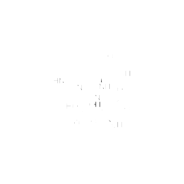 C[C@@H](OP(=O)(O)O)[C@H](N)C(=O)O.N[C@@H](Cc1c[nH]cn1)C(=O)O